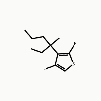 CCCC(C)(CC)c1c(F)csc1F